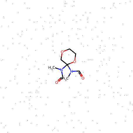 CN(C=O)C1(N(C)C=O)COCCO1